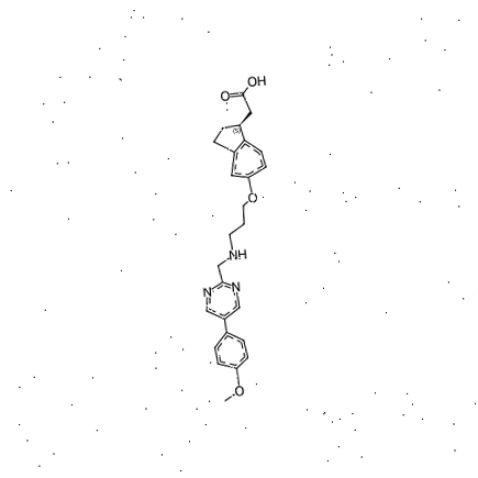 COc1ccc(-c2cnc(CNCCCOc3ccc4c(c3)CC[C@H]4CC(=O)O)nc2)cc1